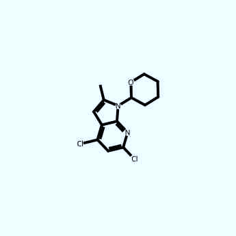 Cc1cc2c(Cl)cc(Cl)nc2n1C1CCCCO1